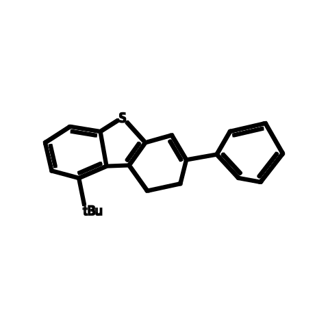 CC(C)(C)c1cccc2sc3c(c12)CCC(c1ccccc1)=C3